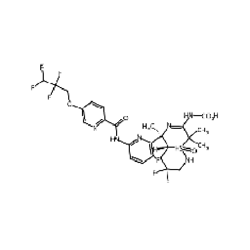 CC1(C)C(NC(=O)O)=N[C@](C)(c2nc(NC(=O)c3ccc(OCC(F)(F)C(F)F)cn3)ccc2F)[C@H]2CC(F)(F)CN[SH]21=O